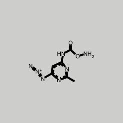 Cc1nc(N=[N+]=[N-])cc(NC(=O)ON)n1